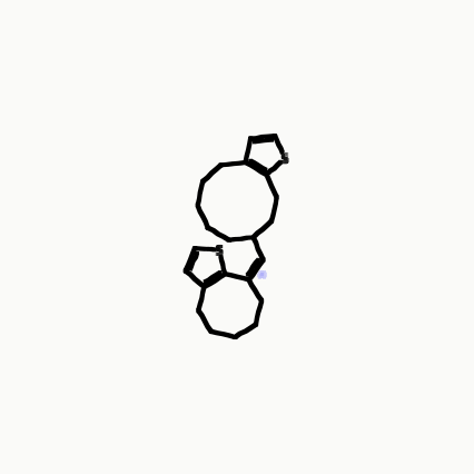 C(=C1\CCCCCc2ccsc21)/C1CCCCCc2ccsc2CC1